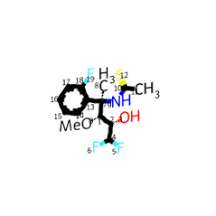 CO[C@@H]([C@H](O)C(F)F)[C@](C)(NC(C)=S)c1ccccc1F